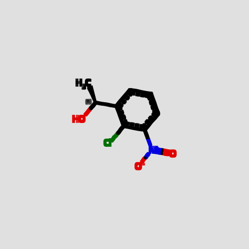 C[C@H](O)c1cccc([N+](=O)[O-])c1Cl